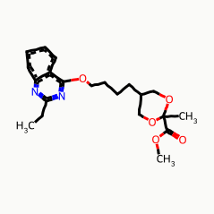 CCc1nc(OCCCCC2COC(C)(C(=O)OC)OC2)c2ccccc2n1